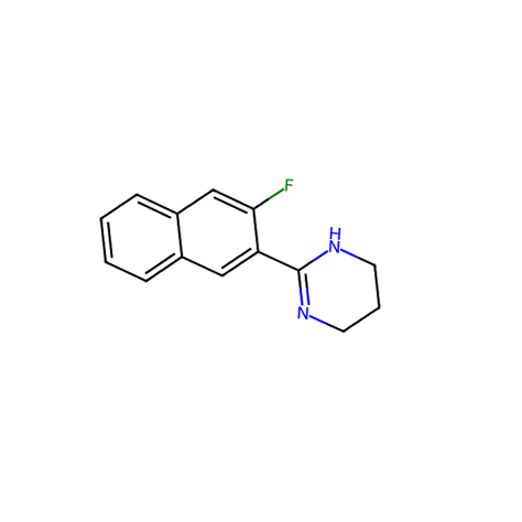 Fc1cc2ccccc2cc1C1=NCCCN1